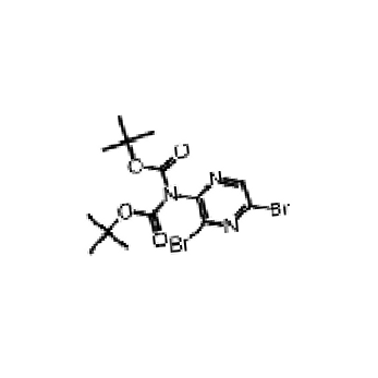 CC(C)(C)OC(=O)N(C(=O)OC(C)(C)C)c1ncc(Br)nc1Br